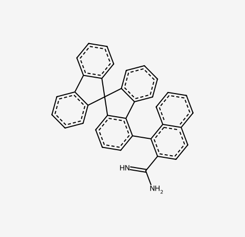 N=C(N)c1ccc2ccccc2c1-c1cccc2c1-c1ccccc1C21c2ccccc2-c2ccccc21